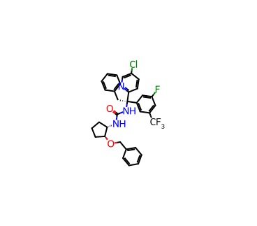 O=C(N[C@H]1CCC[C@@H]1OCc1ccccc1)N[C@](Cc1ccccc1)(c1cc(F)cc(C(F)(F)F)c1)c1ccc(Cl)cn1